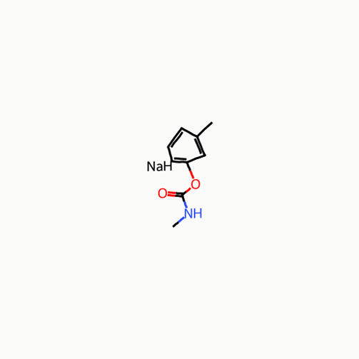 CNC(=O)Oc1cccc(C)c1.[NaH]